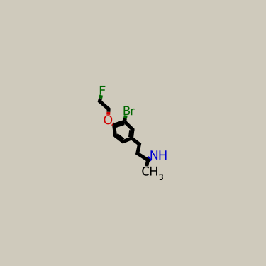 CC(=N)CCc1ccc(OCCF)c(Br)c1